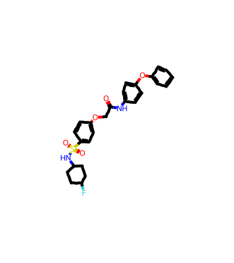 O=C(COc1ccc(S(=O)(=O)NC2CCC(F)CC2)cc1)Nc1ccc(Oc2ccccc2)cc1